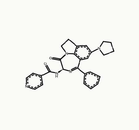 O=C(N[C@@H]1N=C(c2ccccc2)c2cc(N3CCCC3)cc3c2N(CC3)C1=O)c1ccncc1